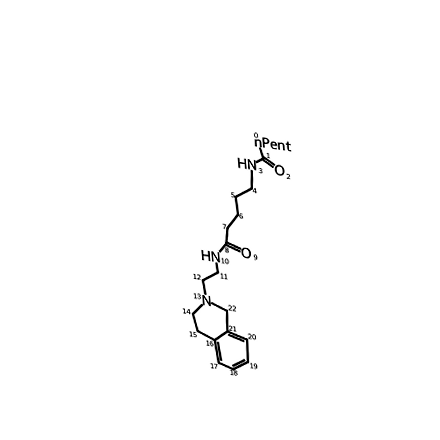 CCCCCC(=O)NCCCCC(=O)NCCN1CCc2ccccc2C1